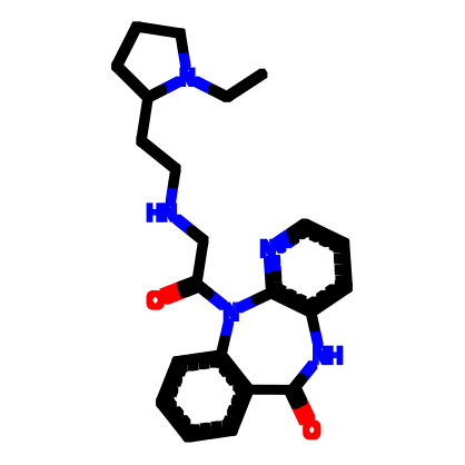 CCN1CCCC1CCNCC(=O)N1c2ccccc2C(=O)Nc2cccnc21